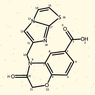 O=C(O)c1ccc2c(c1)N(Cc1cn3ccsc3n1)C(=O)CO2